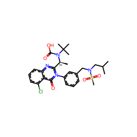 CC(C)CN(Cc1cccc(-n2c([C@H](C)N(C(=O)O)C(C)(C)C)nc3cccc(Cl)c3c2=O)c1)S(C)(=O)=O